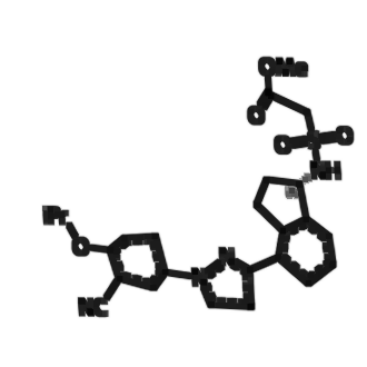 COC(=O)CS(=O)(=O)N[C@H]1CCc2c(-c3ccn(-c4ccc(OC(C)C)c(C#N)c4)n3)cccc21